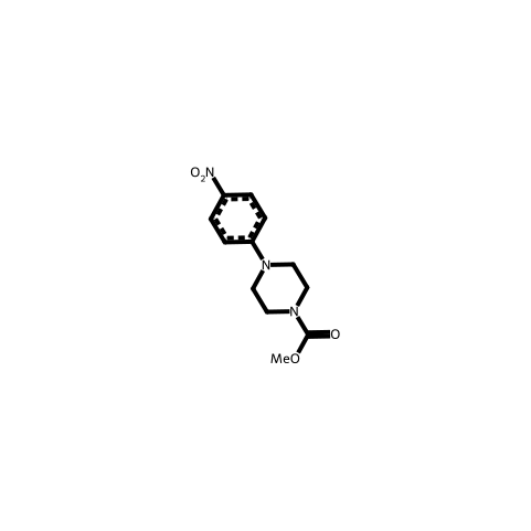 COC(=O)N1CCN(c2ccc([N+](=O)[O-])cc2)CC1